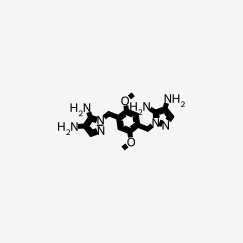 COc1cc(Cn2ncc(N)c2N)c(OC)cc1Cn1ncc(N)c1N